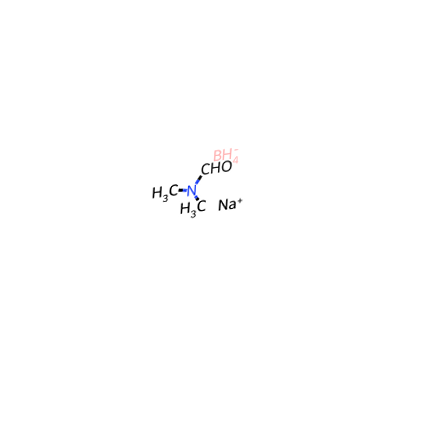 CN(C)C=O.[BH4-].[Na+]